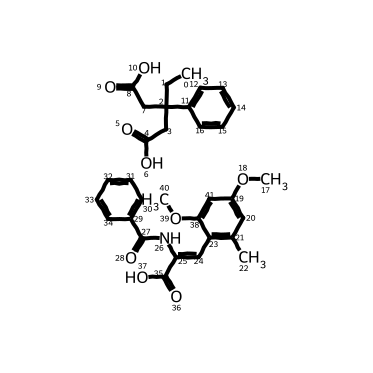 CCC(CC(=O)O)(CC(=O)O)c1ccccc1.COc1cc(C)c(C=C(NC(=O)c2ccccc2)C(=O)O)c(OC)c1